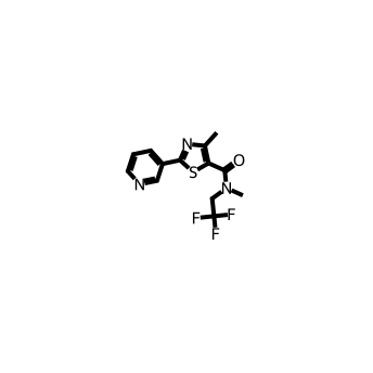 Cc1nc(-c2cccnc2)sc1C(=O)N(C)CC(F)(F)F